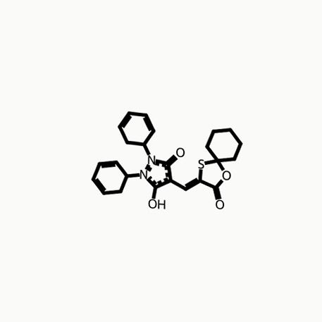 O=C1OC2(CCCCC2)SC1=Cc1c(O)n(C2C=CC=CC2)n(C2C=CC=CC2)c1=O